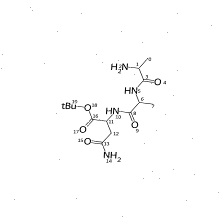 CC(N)C(=O)NC(C)C(=O)NC(CC(N)=O)C(=O)OC(C)(C)C